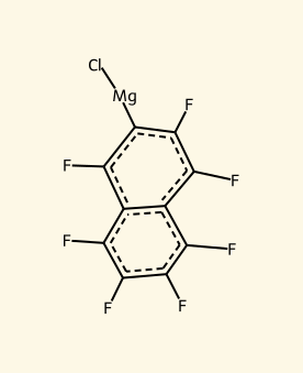 Fc1c(F)c(F)c2c(F)[c]([Mg][Cl])c(F)c(F)c2c1F